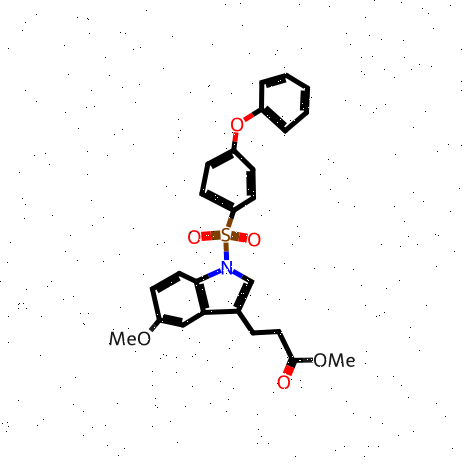 COC(=O)CCc1cn(S(=O)(=O)c2ccc(Oc3ccccc3)cc2)c2ccc(OC)cc12